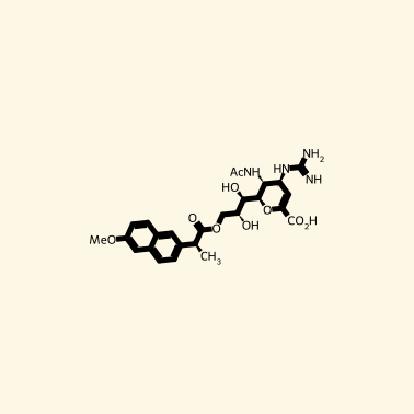 COc1ccc2cc([C@H](C)C(=O)OC[C@@H](O)[C@@H](O)[C@@H]3OC(C(=O)O)=C[C@H](NC(=N)N)[C@H]3NC(C)=O)ccc2c1